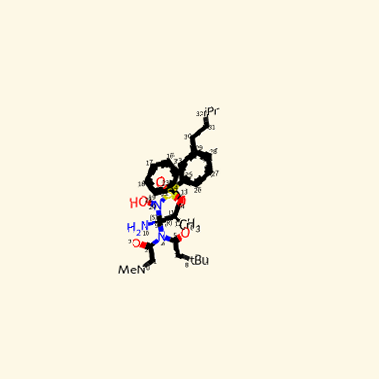 CNCC(=O)N(C(=O)CC(C)(C)C)[C@@](N)([C@H](C)Cc1ccccc1)N(O)S(=O)(=O)c1cccc(CCC(C)C)c1